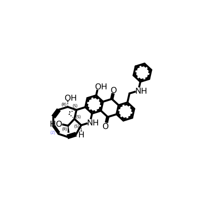 C[C@@H](O)[C@@]12C[C@]13c1cc(O)c4c(c1N[C@H]2C#C/C=C\C#C[C@@H]3O)C(=O)c1cccc(CNc2ccccc2)c1C4=O